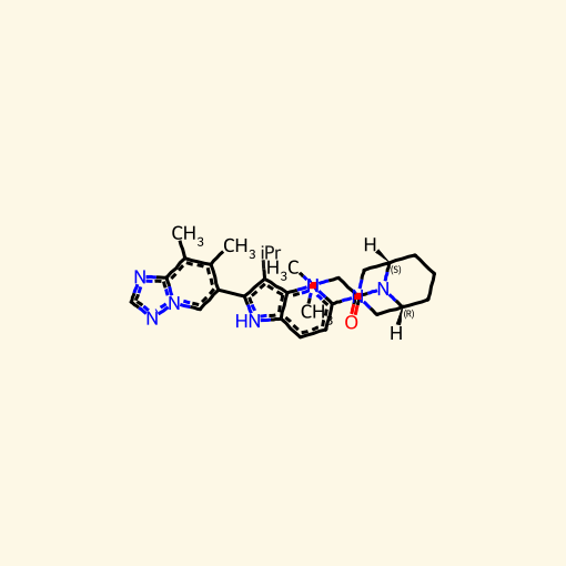 Cc1c(-c2[nH]c3ccc(N4C[C@H]5CCC[C@@H](C4)N5C(=O)CN(C)C)nc3c2C(C)C)cn2ncnc2c1C